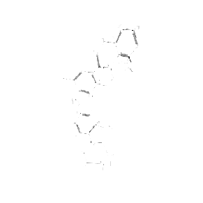 Cc1cc2c(nc1Nc1ccc(N3CCNCC3)c(C#N)c1)SCN(c1c(Cl)cccc1Cl)C2=O